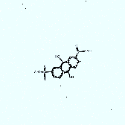 COS(=O)c1ccc2c(O)c3ccc(S(=O)(=O)OC)cc3c(O)c2c1